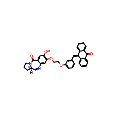 COc1cc2c(cc1OCCOc1cccc(C=C3c4ccccc4C(=O)c4ccccc43)c1)N=C[C@@H]1CCCN1C2=O